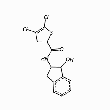 O=C(NC1Cc2ccccc2C1O)C1CC(Cl)=C(Cl)S1